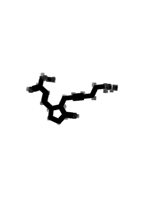 CCCCCC(=O)C=CC1CCC(=O)C1CC#CCCC(=O)O